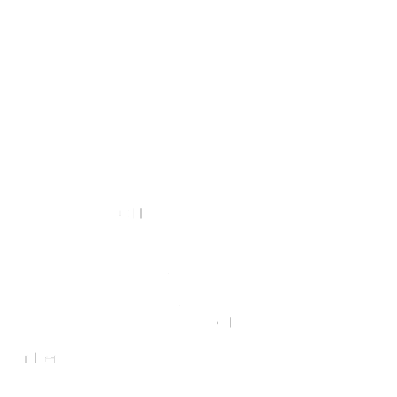 CCCCCc1cc(O)c(CC=C(C)CCC=C(C)C)c(O)c1